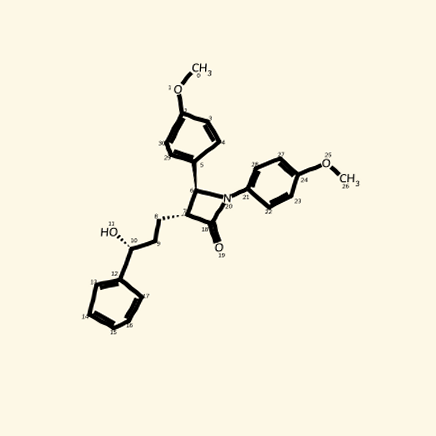 COc1ccc([C@@H]2[C@@H](CC[C@@H](O)c3ccccc3)C(=O)N2c2ccc(OC)cc2)cc1